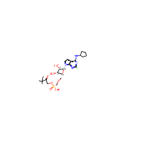 CC(C)(C)C(=O)COP(=O)(O)COC[C@H]1O[C@@H](n2ccc3c(NC4CCCC4)nc(Cl)nc32)[C@H](O)[C@@H]1O